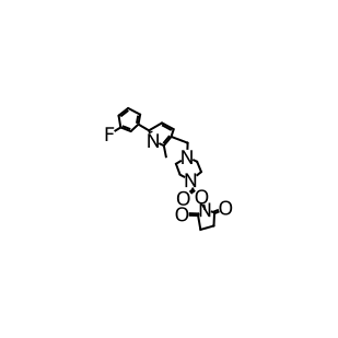 Cc1nc(-c2cccc(F)c2)ccc1CN1CCN(C(=O)ON2C(=O)CCC2=O)CC1